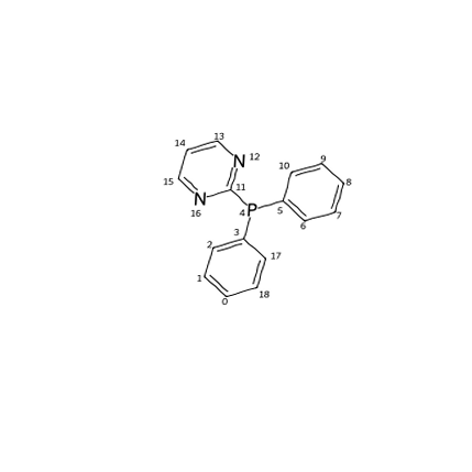 c1ccc(P(c2ccccc2)c2ncccn2)cc1